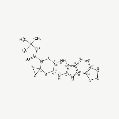 CC(C)(C)OC(=O)N1C[C@H](N)[C@H](Nc2nc3c4c(ccc3s2)OCC4)CC12CC2